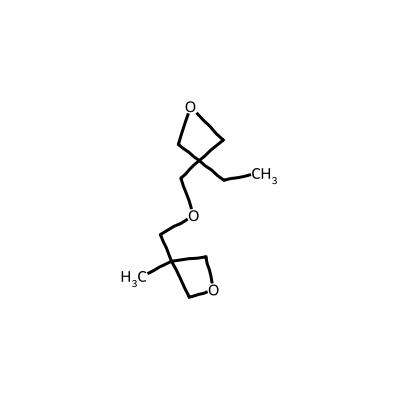 CCC1(COCC2(C)COC2)COC1